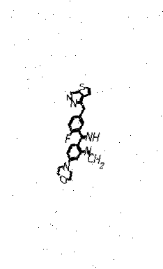 C=Nc1cc(N2CCOCC2)ccc1C(=N)c1cc(Cc2nncc3sccc23)ccc1F